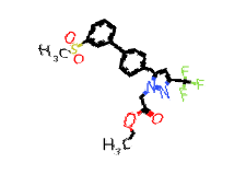 CCOC(=O)Cn1nc(C(F)(F)F)cc1-c1ccc(-c2cccc(S(C)(=O)=O)c2)cc1